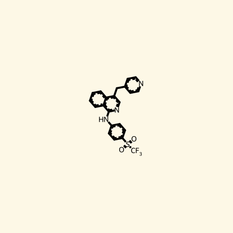 O=S(=O)(c1ccc(Nc2ncc(Cc3ccncc3)c3ccccc23)cc1)C(F)(F)F